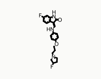 O=C1Nc2cc(F)ccc2/C1=C\Nc1ccc(OCCCN2CCC(F)C2)cc1